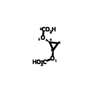 O=C(O)O[C@@H]1C[C@H]1OC(=O)O